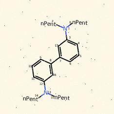 CCCCCN(CCCCC)c1cccc(-c2cccc(N(CCCCC)CCCCC)c2)c1